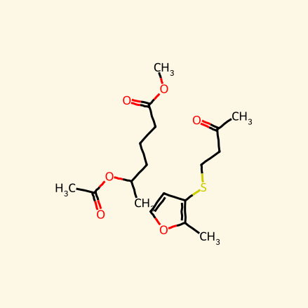 CC(=O)CCSc1ccoc1C.COC(=O)CCCC(C)OC(C)=O